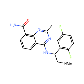 CNCC(Nc1nc(C)nc2c(C(N)=O)cccc12)c1cc(F)ccc1F